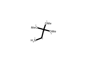 COC(C[SiH3])(OC)OC